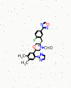 Cc1cc(C2CN(C=O)[C@H](Cc3cc(-c4ncon4)ccc3F)CO2)c(-n2nccn2)cc1C